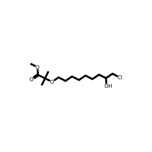 COC(=O)C(C)(C)OCCCCCCCC(O)CCl